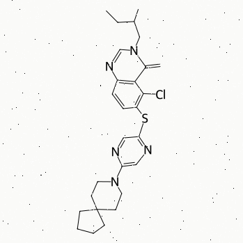 C=C1c2c(ccc(Sc3cnc(N4CCC5(CCCC5)CC4)cn3)c2Cl)N=CN1CC(C)CC